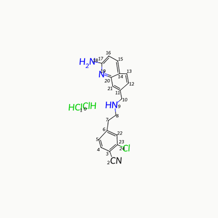 Cl.Cl.N#Cc1ccc(CCNCc2ccc3ccc(N)nc3c2)cc1Cl